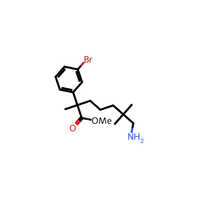 COC(=O)C(C)(CCCC(C)(C)CN)c1cccc(Br)c1